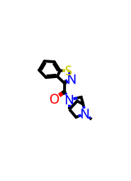 CN1CC2CC1CN2C(=O)c1nsc2ccccc12